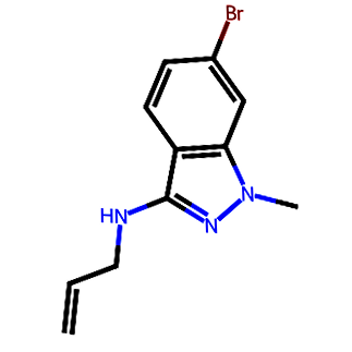 C=CCNc1nn(C)c2cc(Br)ccc12